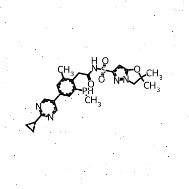 CPc1cc(-c2cnc(C3CC3)nc2)cc(C)c1CC(=O)NS(=O)(=O)c1cc2n(n1)CC(C)(C)O2